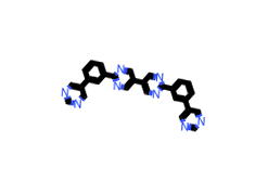 c1cc(-c2cncnc2)cc(-c2ncc(-c3cnc(-c4cccc(-c5cncnc5)c4)nc3)cn2)c1